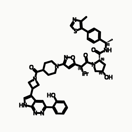 Cc1ncsc1-c1ccc([C@H](C)NC(=O)[C@@H]2C[C@@H](O)CN2C(=O)[C@H](c2cc(N3CCC(C(=O)N4CC(c5c[nH]c6nnc(-c7ccccc7O)cc56)C4)CC3)no2)C(C)C)cc1